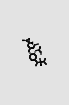 CCC[C@@H](C[C@H]1CCC(C(C)C(C)(C)C(C)C)C[C@H]1C[C@@H](C)I)C[C@@]1(I)C[C@@H]1C